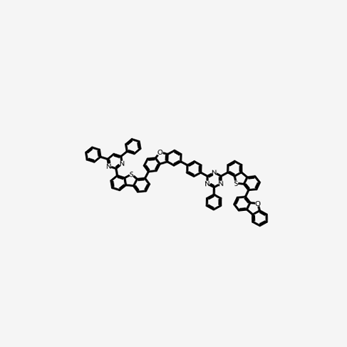 c1ccc(-c2cc(-c3ccccc3)nc(-c3cccc4c3sc3c(-c5ccc6oc7ccc(-c8ccc(-c9nc(-c%10ccccc%10)nc(-c%10cccc%11c%10sc%10c(-c%12cccc%13c%12oc%12ccccc%12%13)cccc%10%11)n9)cc8)cc7c6c5)cccc34)n2)cc1